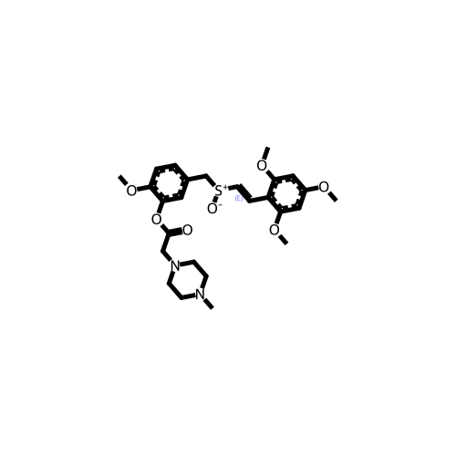 COc1cc(OC)c(/C=C/[S+]([O-])Cc2ccc(OC)c(OC(=O)CN3CCN(C)CC3)c2)c(OC)c1